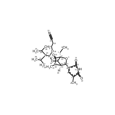 CC[C@]12O[C@@H](n3cc(C)c(=O)[nH]c3=O)[C@H](C1OP(OCCC#N)N(C(C)C)C(C)C)N(C)C2=O